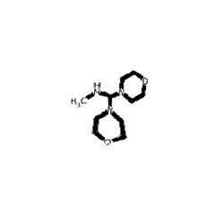 CNC(N1CCOCC1)N1CCOCC1